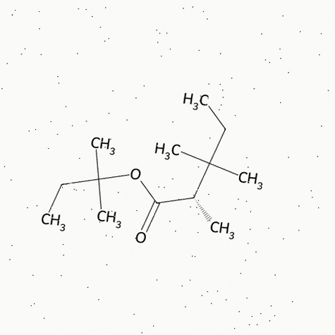 CCC(C)(C)OC(=O)[C@@H](C)C(C)(C)CC